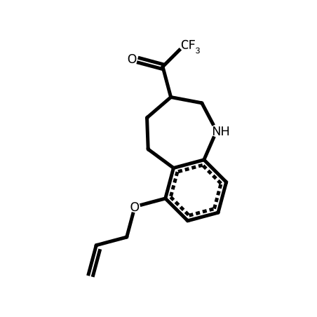 C=CCOc1cccc2c1CCC(C(=O)C(F)(F)F)CN2